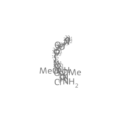 COc1nc(N)c(Cl)cc1C(=O)N[C@@H]1CCN(CCCc2ccc(C(=O)OCCN3CCCC3)cc2)C[C@@H]1OC